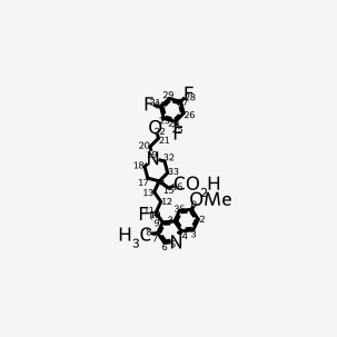 COc1ccc2ncc(C)c([C@H](F)CCC3(CC(=O)O)CCN(CCOc4c(F)cc(F)cc4F)CC3)c2c1